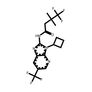 CC(C)(CC(=O)Nc1nc2cc(C(F)(F)F)cnc2n1C1CCC1)C(F)(F)F